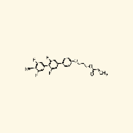 C=CC(=O)OCCCOc1ccc(-c2cc(F)c(-c3cc(F)c(C#N)c(F)c3)c(F)c2)cc1